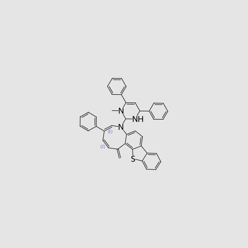 C=C1/C=C\C(c2ccccc2)=C/N(C2NC(c3ccccc3)C=C(c3ccccc3)N2C)c2ccc3c(sc4ccccc43)c21